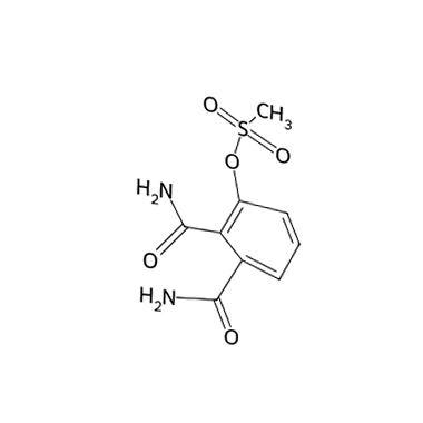 CS(=O)(=O)Oc1cccc(C(N)=O)c1C(N)=O